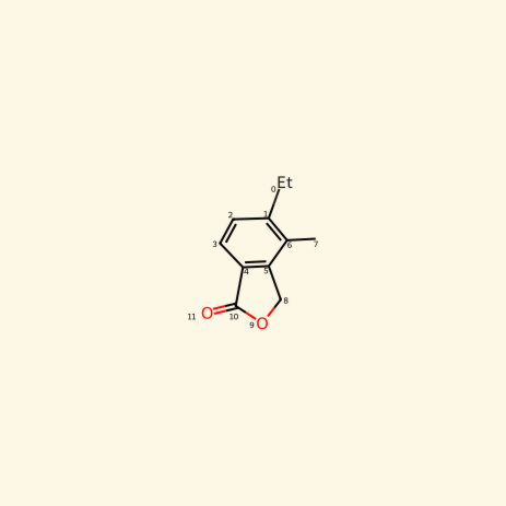 CCc1ccc2c(c1C)COC2=O